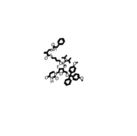 C=C(CNC(=O)Cc1ccccc1)C(=O)SCCCCOP(OC1C(COC(c2ccccc2)(c2ccc(OC)cc2)c2ccc(OC)cc2)OC(n2ccc(=O)[nH]c2=O)C1F)N(C(C)C)C(C)C